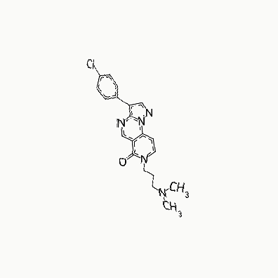 CN(C)CCCn1ccc2c(cnc3c(-c4ccc(Cl)cc4)cnn32)c1=O